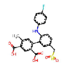 Cc1cc(-c2cc(C[SH](=O)=O)ccc2Nc2ccc(F)cc2)c(C(=O)O)cc1C(=O)O